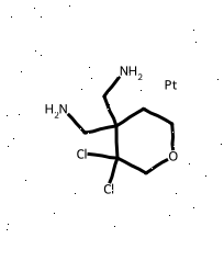 NCC1(CN)CCOCC1(Cl)Cl.[Pt]